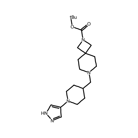 CC(C)(C)OC(=O)N1CC2(CCN(CC3CCN(c4cn[nH]c4)CC3)CC2)C1